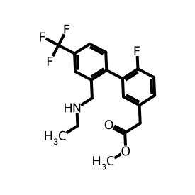 CCNCc1cc(C(F)(F)F)ccc1-c1cc(CC(=O)OC)ccc1F